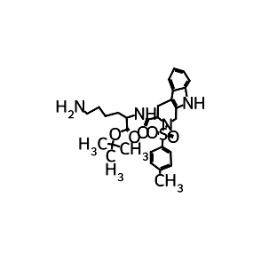 Cc1ccc(S(=O)(=O)N2Cc3[nH]c4ccccc4c3CC2C(=O)NC(CCCCN)C(=O)OC(C)(C)C)cc1